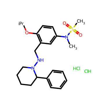 CC(C)Oc1ccc(N(C)S(C)(=O)=O)cc1CNN1CCCCC1c1ccccc1.Cl.Cl